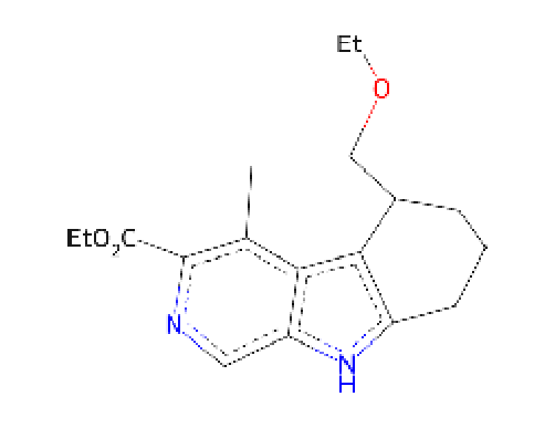 CCOCC1CCCc2[nH]c3cnc(C(=O)OCC)c(C)c3c21